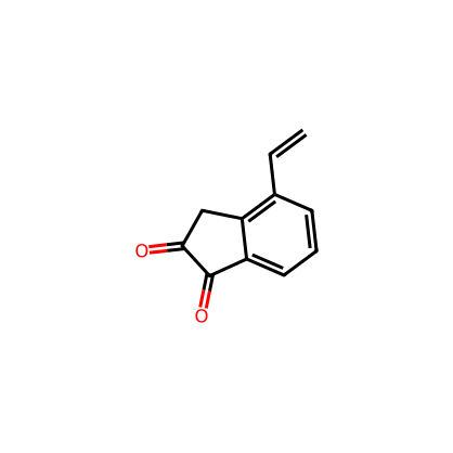 C=Cc1cccc2c1CC(=O)C2=O